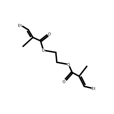 CC/C=C(\C)C(=O)OCCOC(=O)/C(C)=C/CC